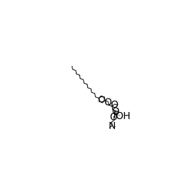 CCCCCCCCCCCCCCc1ccc(OCC(COP(O)OCCN(C)C)OC)cc1